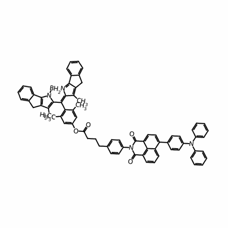 Bn1c(/C(=C2\N=C3C(=C2C)Cc2ccccc23)c2c(C)cc(OC(=O)CCCc3ccc(N4C(=O)c5cccc6c(-c7ccc(N(c8ccccc8)c8ccccc8)cc7)ccc(c56)C4=O)cc3)cc2C)c(C)c2c1-c1ccccc1C2